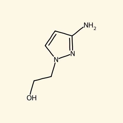 Nc1ccn(CCO)n1